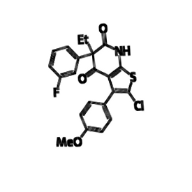 CCC1(c2cccc(F)c2)C(=O)Nc2sc(Cl)c(-c3ccc(OC)cc3)c2C1=O